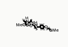 C=C(NC(=O)c1csc(-c2ccc(OCCOC)cc2)n1)C(=O)NC(=C)C(=O)OC